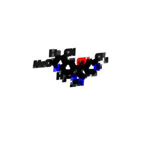 CCc1c(OC)nc2ccc(C(O)(c3ccnc(C(F)(F)F)c3)c3cncn3C)cc2c1C#N